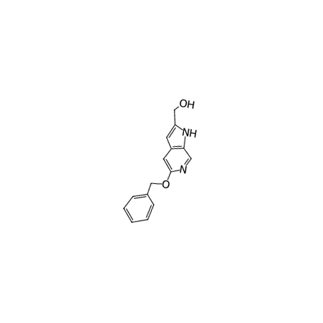 OCc1cc2cc(OCc3ccccc3)ncc2[nH]1